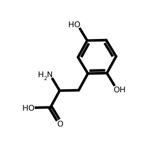 NC(Cc1cc(O)ccc1O)C(=O)O